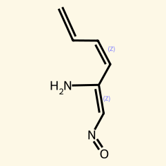 C=C/C=C\C(N)=C\N=O